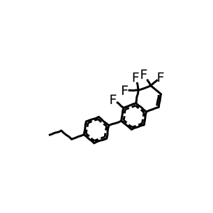 CCCc1ccc(-c2ccc3c(c2F)C(F)(F)C(F)(F)C=C3)cc1